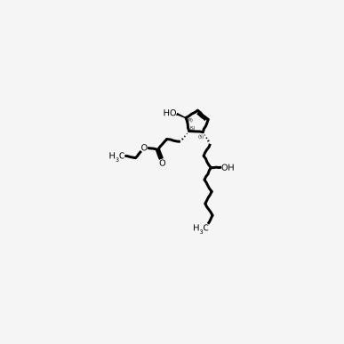 CCCCCC(O)CC[C@H]1C=C[C@H](O)[C@H]1CCC(=O)OCC